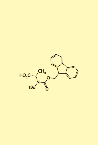 C[C@@H](C(=O)O)N(C(=O)OCC1c2ccccc2-c2ccccc21)C(C)(C)C